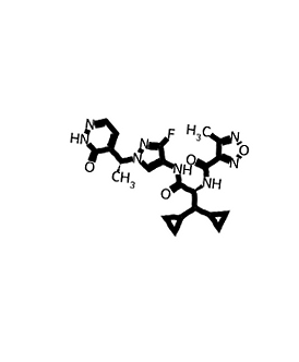 Cc1nonc1C(=O)N[C@H](C(=O)Nc1cn([C@H](C)c2ccn[nH]c2=O)nc1F)C(C1CC1)C1CC1